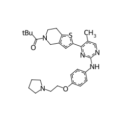 Cc1cnc(Nc2ccc(OCCN3CCCC3)cc2)nc1-c1cc2c(s1)CCN(C(=O)C(C)(C)C)C2